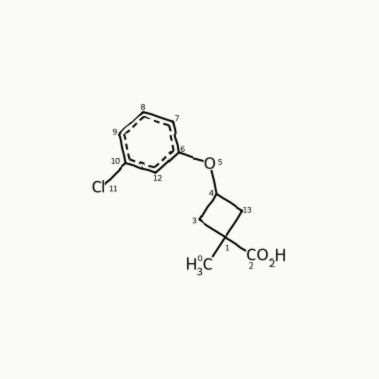 CC1(C(=O)O)CC(Oc2cccc(Cl)c2)C1